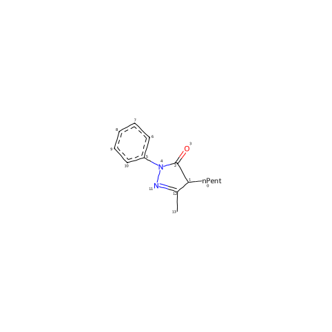 CCCCCC1C(=O)N(c2ccccc2)N=C1C